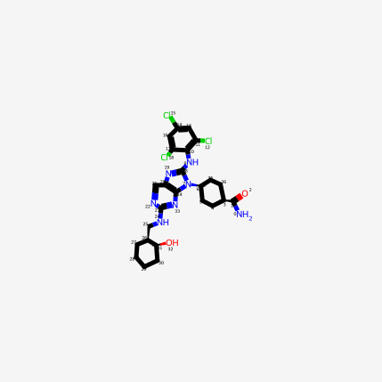 NC(=O)[C@H]1CC[C@@H](n2c(Nc3c(Cl)cc(Cl)cc3Cl)nc3cnc(NC[C@@H]4CCCC[C@@H]4O)nc32)CC1